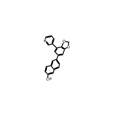 [CH]c1ccc2cc(-c3cc4c(c(-c5cccnc5)c3)OCO4)ccc2c1